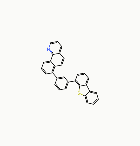 c1cc(-c2cccc3c2ccc2cccnc23)cc(-c2cccc3c2sc2ccccc23)c1